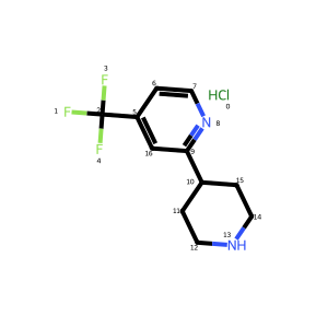 Cl.FC(F)(F)c1ccnc(C2CCNCC2)c1